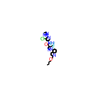 CCCCOCc1ccc2c(-n3ncc(C(=O)Nc4cnc(-n5nccn5)c(Cl)c4)c3C(F)(F)F)cccc2n1